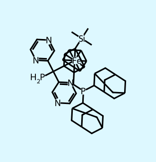 C[Si](C)(C)[C]12[CH]3[C]4(CP(C5C6CC7CC(C6)CC5C7)C5C6CC7CC(C6)CC5C7)[C]5(C(P)(c6cnccn6)c6cnccn6)[CH]1[Fe]34521678[CH]2[CH]1[CH]6[CH]7[CH]28